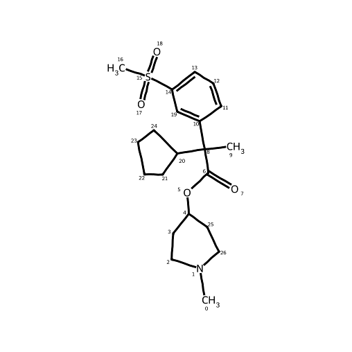 CN1CCC(OC(=O)C(C)(c2cccc(S(C)(=O)=O)c2)C2CCCC2)CC1